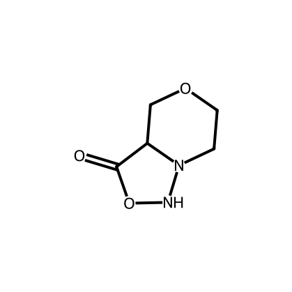 O=C1ONN2CCOCC12